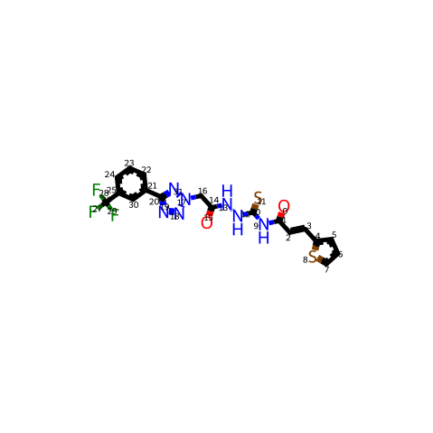 O=C(/C=C/c1cccs1)NC(=S)NNC(=O)Cn1nnc(-c2cccc(C(F)(F)F)c2)n1